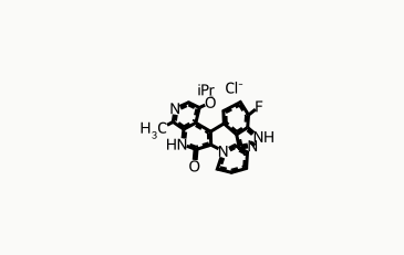 Cc1ncc(OC(C)C)c2c(-c3ccc(F)c4[nH]ncc34)c(-[n+]3ccccc3)c(=O)[nH]c12.[Cl-]